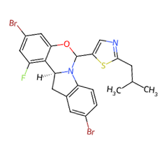 CC(C)Cc1ncc(C2Oc3cc(Br)cc(F)c3[C@@H]3Cc4cc(Br)ccc4N23)s1